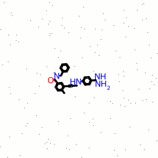 Cc1ccc(C(=O)N(C)Cc2ccccc2)cc1C#CCNc1ccc(C(=N)N)cc1